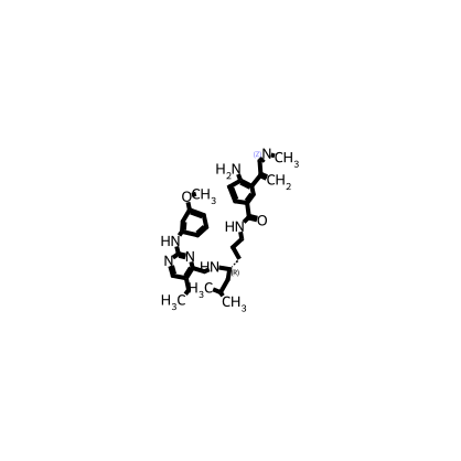 C=C(/C=N\C)c1cc(C(=O)NCCC[C@H](CC(C)C)NCc2nc(Nc3cccc(OC)c3)ncc2CC)ccc1N